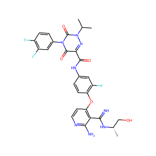 CC(C)n1nc(C(=O)Nc2ccc(Oc3ccnc(N)c3C(=N)N[C@@H](C)CO)c(F)c2)c(=O)n(-c2ccc(F)c(F)c2)c1=O